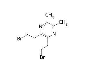 Cc1nc(CCBr)c(CCBr)nc1C